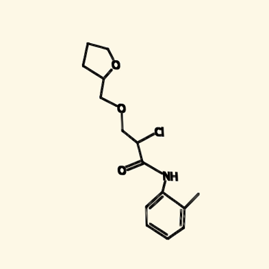 Cc1ccccc1NC(=O)C(Cl)COCC1CCCO1